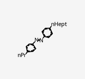 CCCCCCCc1ccc(N=Nc2ccc(CCC)cc2)cc1